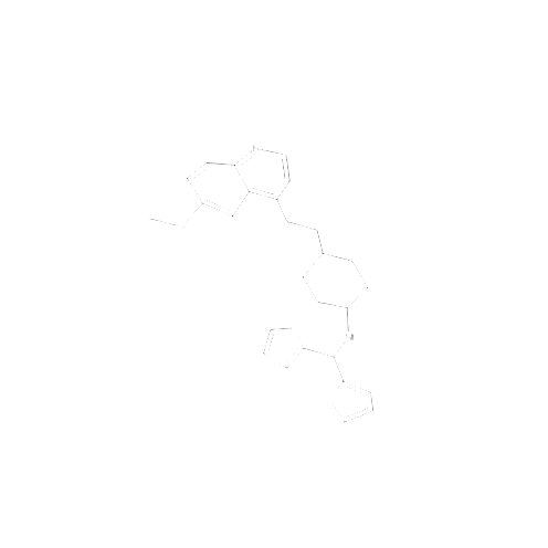 COc1ccc2nccc(CCC3CCC(NC(c4ccco4)c4ccco4)CC3)c2c1